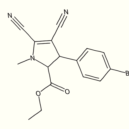 CCOC(=O)C1C(c2ccc(Br)cc2)C(C#N)=C(C#N)N1C